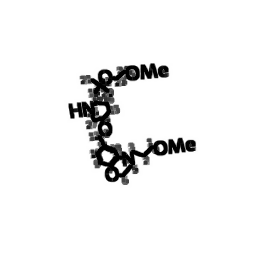 COCCCN1CCOc2ccc(CO[C@@H]3CC[C@@H](CC(C)(C)OCCOC)NC3)cc21